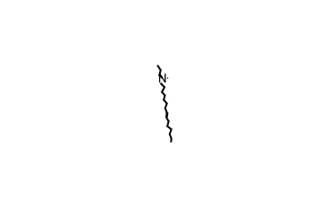 CCCCCC/C=C/CCCCCCC[N]CCC